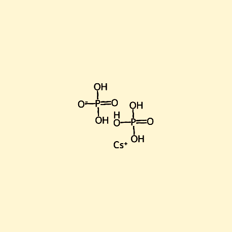 O=P(O)(O)O.O=P([O-])(O)O.[Cs+]